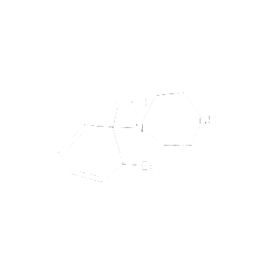 CCC1C=CC=CC1(C(=O)O)N1CCNCC1